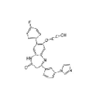 O=C1CC(c2cccc(-n3ccnc3)c2)=Nc2cc(OCCO)c(-c3ccc(F)cc3)cc2N1